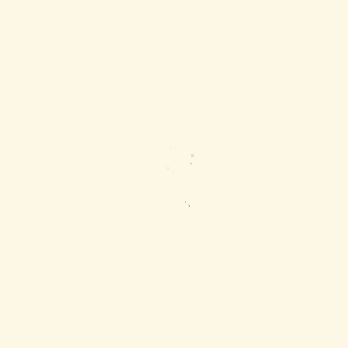 Fc1ccc(C2CCCCN2)cc1F